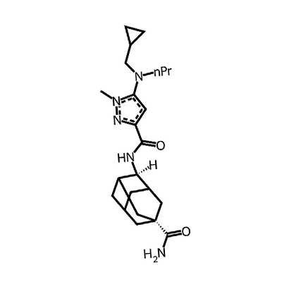 CCCN(CC1CC1)c1cc(C(=O)N[C@H]2C3CC4CC2C[C@](C(N)=O)(C4)C3)nn1C